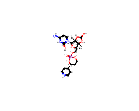 C[C@]1(COP2(=O)OCC[C@@H](c3ccncc3)O2)O[C@@H](n2ccc(N)nc2=O)[C@@H]2OC(=O)O[C@@H]21